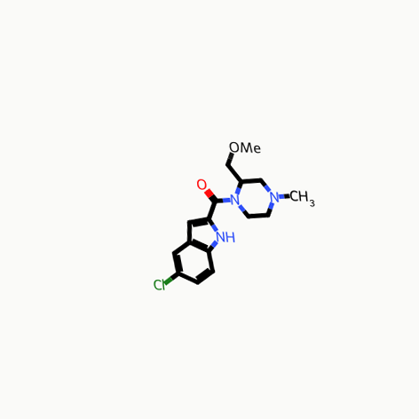 COCC1CN(C)CCN1C(=O)c1cc2cc(Cl)ccc2[nH]1